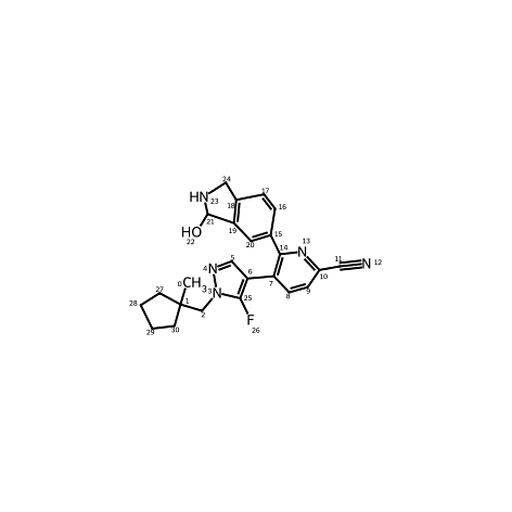 CC1(Cn2ncc(-c3ccc(C#N)nc3-c3ccc4c(c3)C(O)NC4)c2F)CCCC1